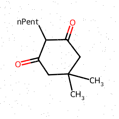 CCCCCC1C(=O)CC(C)(C)CC1=O